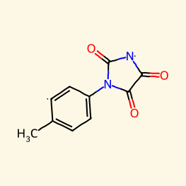 Cc1[c]cc(N2C(=O)[N]C(=O)C2=O)cc1